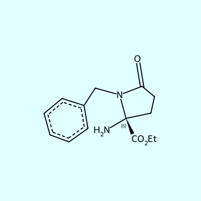 CCOC(=O)[C@]1(N)CCC(=O)N1Cc1ccccc1